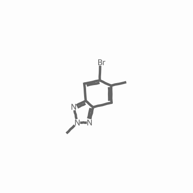 Cc1cc2nn(C)nc2cc1Br